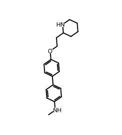 CNc1ccc(-c2ccc(OCCC3CCCCN3)cc2)cc1